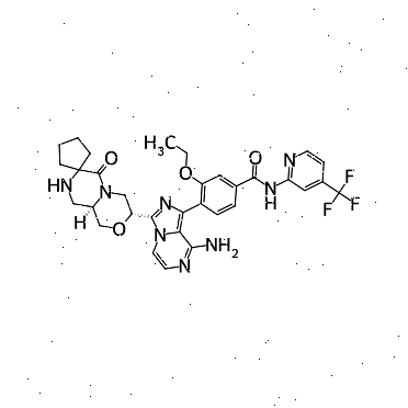 CCOc1cc(C(=O)Nc2cc(C(F)(F)F)ccn2)ccc1-c1nc([C@H]2CN3C(=O)C4(CCCC4)NC[C@@H]3CO2)n2ccnc(N)c12